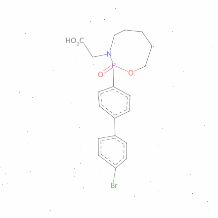 O=C(O)CN1CCCCCOP1(=O)c1ccc(-c2ccc(Br)cc2)cc1